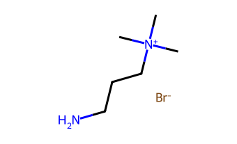 C[N+](C)(C)CCCN.[Br-]